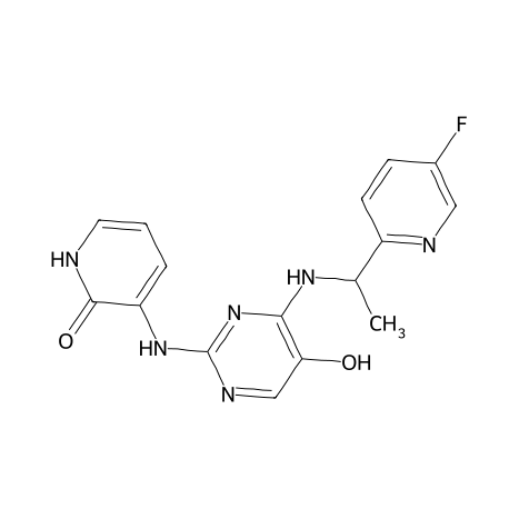 CC(Nc1nc(Nc2ccc[nH]c2=O)ncc1O)c1ccc(F)cn1